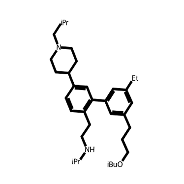 CCc1cc(CCCOCC(C)C)cc(-c2cc(C3CCN(CC(C)C)CC3)ccc2CCNC(C)C)c1